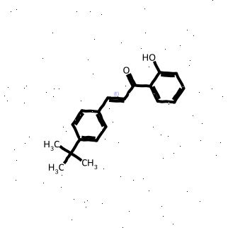 CC(C)(C)c1ccc(/C=C/C(=O)c2ccccc2O)cc1